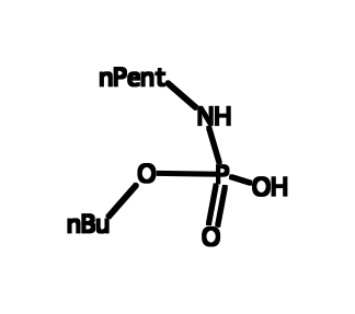 CCCCCNP(=O)(O)OCCCC